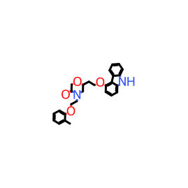 Cc1ccccc1OCCN1CC(CCOc2cccc3[nH]c4ccccc4c23)OCC1=O